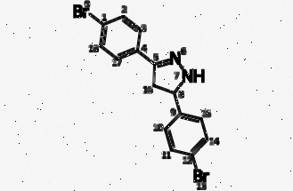 Brc1ccc(C2=NNC(c3ccc(Br)cc3)C2)cc1